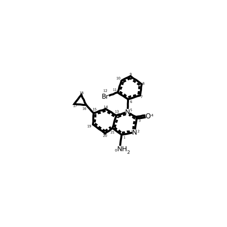 Nc1nc(=O)n(-c2ccccc2Br)c2cc(C3CC3)ccc12